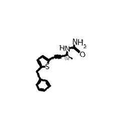 C[C@@H](C#Cc1ccc(Cc2ccccc2)s1)NC(N)=O